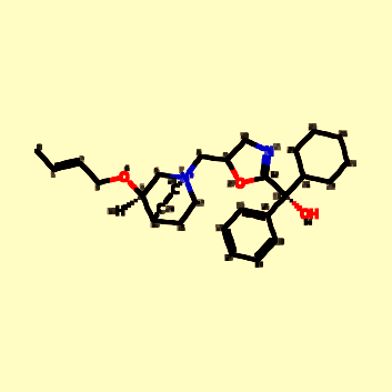 C/C=C/CO[C@H]1C[N+]2(CC3CN=C([C@](O)(c4ccccc4)C4CCCCC4)O3)CCC1CC2